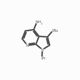 CC(C)n1cc(C(C)(C)C)c2c(N)ccnc21